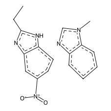 CCc1nc2cc([N+](=O)[O-])ccc2[nH]1.Cn1cnc2ccccc21